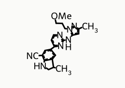 COCCCn1nc(C)cc1Nc1nccc(-c2cc(C#N)c3c(c2)C(C)CN3)n1